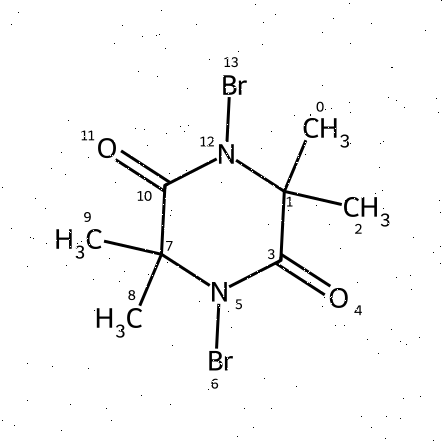 CC1(C)C(=O)N(Br)C(C)(C)C(=O)N1Br